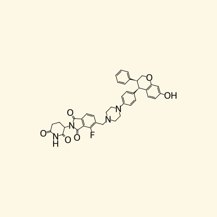 O=C1CCC(N2C(=O)c3ccc(CN4CCN(c5ccc([C@@H]6c7ccc(O)cc7OC[C@@H]6c6ccccc6)cc5)CC4)c(F)c3C2=O)C(=O)N1